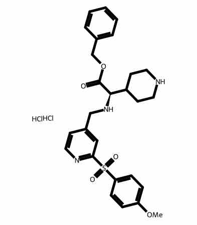 COc1ccc(S(=O)(=O)c2cc(CN[C@@H](C(=O)OCc3ccccc3)C3CCNCC3)ccn2)cc1.Cl.Cl